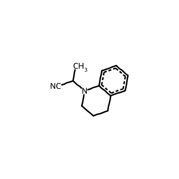 CC(C#N)N1CCCc2ccccc21